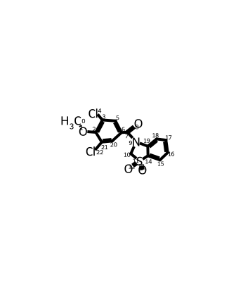 COc1c(Cl)cc(C(=O)N2CS(=O)(=O)c3ccccc32)cc1Cl